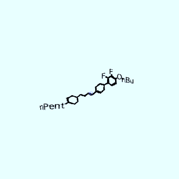 CCCCCC1CCC(CC/C=C/C2=CCC(c3ccc(OCCCC)c(F)c3F)CC2)CC1